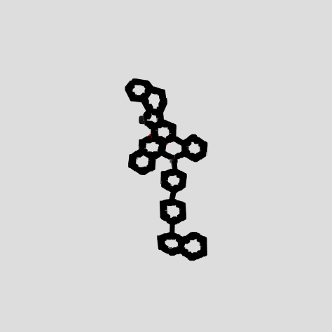 c1ccc(N(c2ccc(-c3ccc(-c4cccc5ccccc45)cc3)cc2)c2cccc3ccccc23)c(-c2ccc3oc4c5ccccc5ccc4c3c2)c1